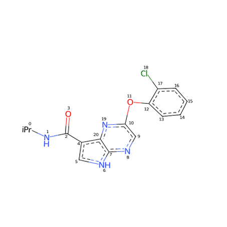 CC(C)NC(=O)c1c[nH]c2ncc(Oc3ccccc3Cl)nc12